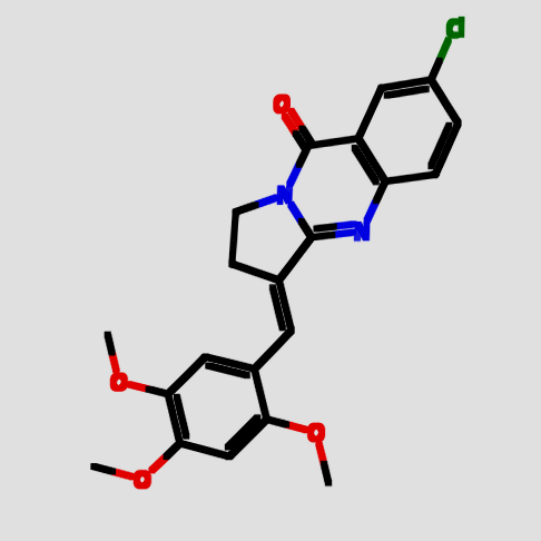 COc1cc(OC)c(OC)cc1C=C1CCn2c1nc1ccc(Cl)cc1c2=O